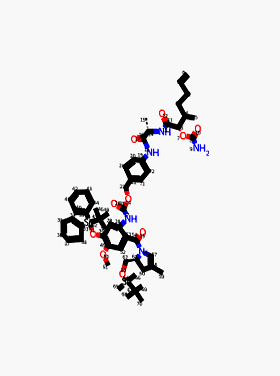 C=CCCC(C)[C@H](OC(N)=O)C(=O)N[C@@H](C)C(=O)Nc1ccc(COC(=O)Nc2cc(O[Si](c3ccccc3)(c3ccccc3)C(C)(C)C)c(OC)cc2C(=O)N2C=C(C)C[C@H]2CO[Si](C)(C)C(C)(C)C)cc1